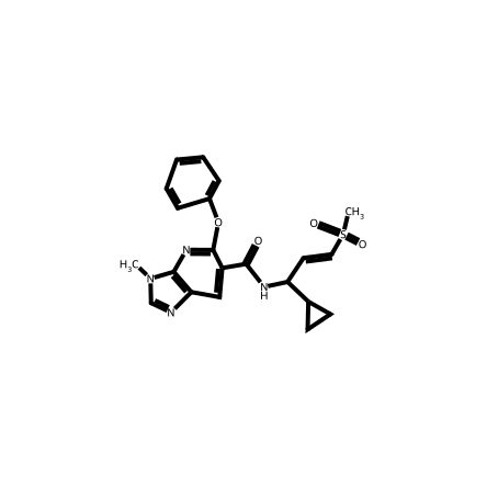 Cn1cnc2cc(C(=O)NC(/C=C/S(C)(=O)=O)C3CC3)c(Oc3ccccc3)nc21